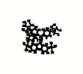 CC[Si](CC)(CC)c1ccc([C](=[Hf][CH]2c3cc(C(C)(C)C)ccc3-c3ccc(C(C)(C)C)c(C4=CC=CC4)c32)c2ccc([Si](CC)(CC)CC)cc2)cc1